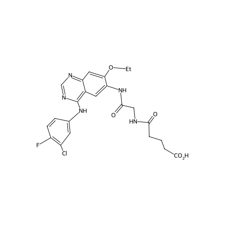 CCOc1cc2ncnc(Nc3ccc(F)c(Cl)c3)c2cc1NC(=O)CNC(=O)CCCC(=O)O